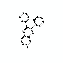 Cc1ccc2nc(-c3ccccn3)c(-c3ccccn3)nc2c1